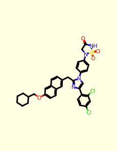 O=C1CN(c2ccc(-n3cc(-c4ccc(Cl)cc4Cl)nc3Cc3ccc4cc(OCC5CCCCC5)ccc4c3)cc2)S(=O)(=O)N1